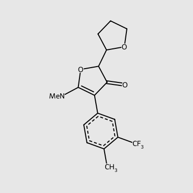 CNC1=C(c2ccc(C)c(C(F)(F)F)c2)C(=O)C(C2CCCO2)O1